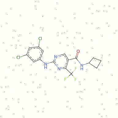 O=C(NC1CCC1)c1cnc(Nc2cc(Cl)cc(Cl)c2)nc1C(F)(F)F